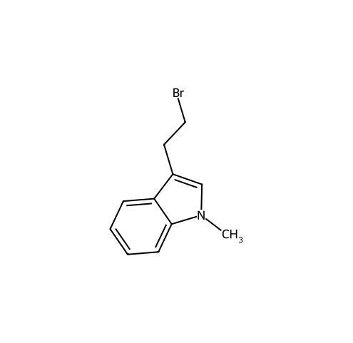 Cn1cc(CCBr)c2ccccc21